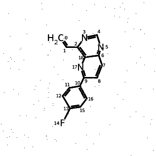 C=Cc1ncnc2ccc(-c3ccc(F)cc3)nc12